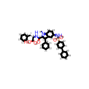 Cn1c(C(=O)N[C@@H](Cc2ccccc2)C(=O)O)c(-c2ccccc2)c2cc(NS(=O)(=O)c3ccc(-c4ccccc4)cc3)ccc21